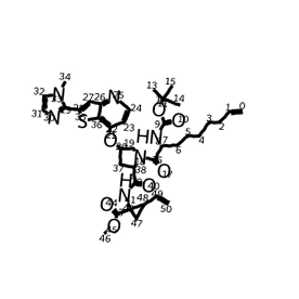 C=CCCCCCC(NC(=O)OC(C)(C)C)C(=O)N1CC(Oc2ccnc3cc(-c4nccn4C)sc23)CC1C(=O)NC1(C(=O)OC)CC1C=C